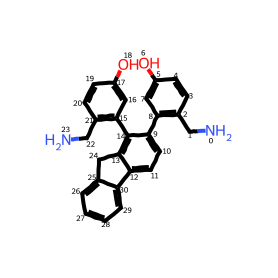 NCc1ccc(O)cc1-c1ccc2c(c1-c1cc(O)ccc1CN)Cc1ccccc1-2